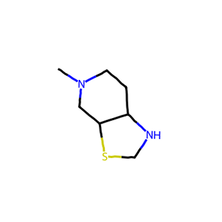 CN1CCC2NCSC2C1